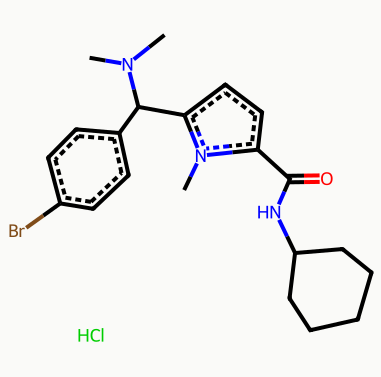 CN(C)C(c1ccc(Br)cc1)c1ccc(C(=O)NC2CCCCC2)n1C.Cl